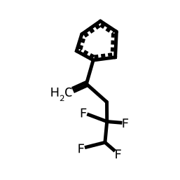 C=C(CC(F)(F)C(F)F)c1ccccc1